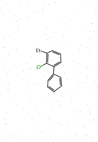 CCc1cccc(-c2cc[c]cc2)c1Cl